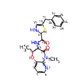 CC1Oc2cccnc2N(C)C(=O)C1NC(=O)C1NC=C(Cc2ccccc2)S1